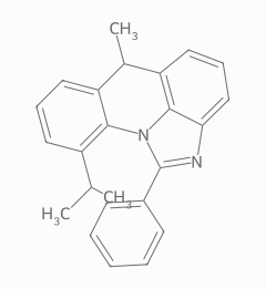 CC(C)c1cccc2c1-n1c(-c3ccccc3)nc3cccc(c31)C2C